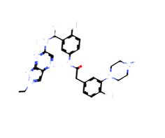 CCn1cc2ncc(N[C@@H](C)c3cc(NC(=O)Cc4ccc(C)c(N5CCN(C)CC5)c4)ccc3C)nc2n1